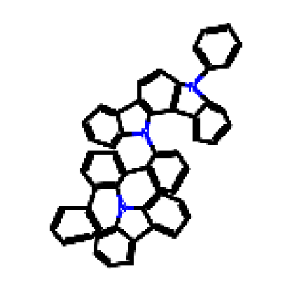 c1ccc(-c2cccc(-c3ccccc3-n3c4ccccc4c4ccc5c(c6ccccc6n5-c5ccccc5)c43)c2-n2c3ccccc3c3ccccc32)cc1